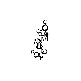 O=C(Nc1ccc(Cl)cc1Cl)Nc1cnc2ccc(N3CCC[C@@H]3c3cc(F)ccc3F)nn12